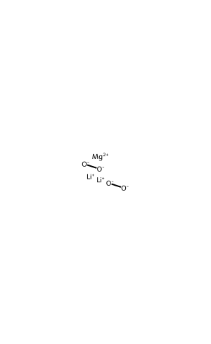 [Li+].[Li+].[Mg+2].[O-][O-].[O-][O-]